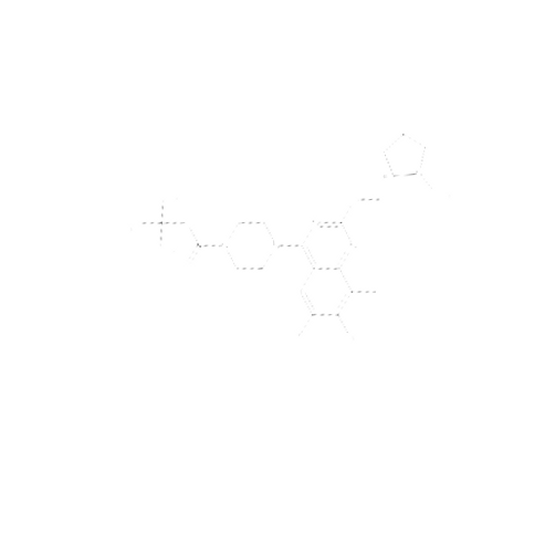 CN1CCC[C@H]1COc1nc(N2CCN(C(=O)OC(C)(C)C)CC2)c2cc(I)c(Br)c(F)c2n1